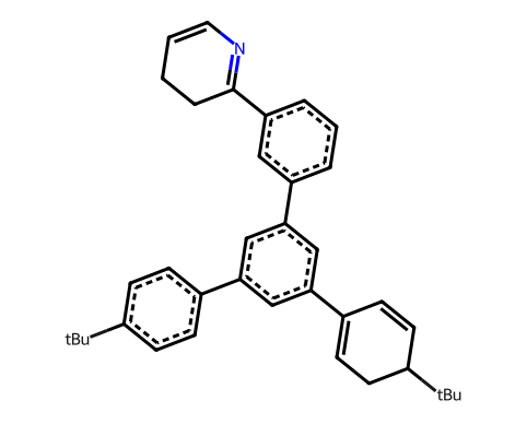 CC(C)(C)c1ccc(-c2cc(C3=CCC(C(C)(C)C)C=C3)cc(-c3cccc(C4=NC=CCC4)c3)c2)cc1